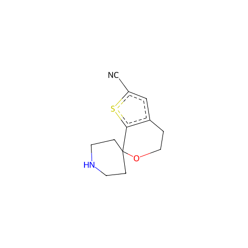 N#Cc1cc2c(s1)C1(CCNCC1)OCC2